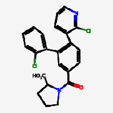 O=C(O)C1CCCN1C(=O)c1ccc(-c2cccnc2Cl)c(-c2ccccc2Cl)c1